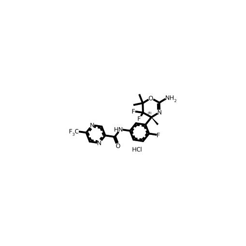 CC1(C)OC(N)=N[C@](C)(c2cc(NC(=O)c3cnc(C(F)(F)F)cn3)ccc2F)C1(F)F.Cl